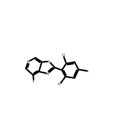 Fc1cncc2sc(-c3c(Cl)cc(I)cc3Cl)nc12